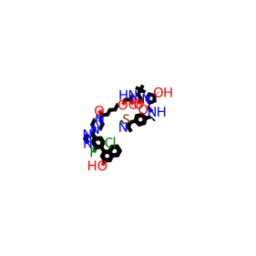 Cc1ncsc1-c1ccc([C@H](C)NC(=O)[C@@H]2C[C@@H](O)CN2C(=O)[C@@H](NC(=O)COCCCCC(=O)N2CCN(c3ncnc4c(F)c(-c5cc(O)cc6ccccc56)c(Cl)cc34)CC2)C(C)(C)C)cc1